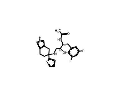 CC(=O)N[C@@H](Cc1cc(F)cc(F)c1)[C@@H](O)CNC1(c2cccs2)CCc2n[nH]cc2C1